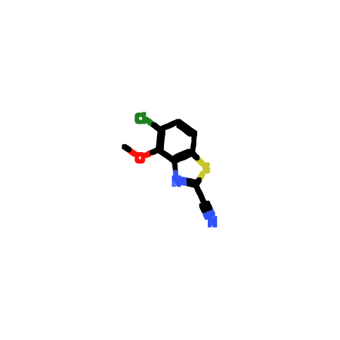 COc1c(Cl)ccc2sc(C#N)nc12